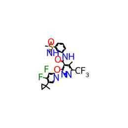 Cc1c(C(F)(F)F)nnc(Oc2ncc(C3(C)CC3)c(F)c2F)c1C(=O)Nc1cccc(S(C)(=N)=O)c1